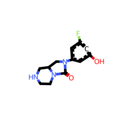 O=C1N(c2cc(O)cc(F)c2)CC2CNCCN12